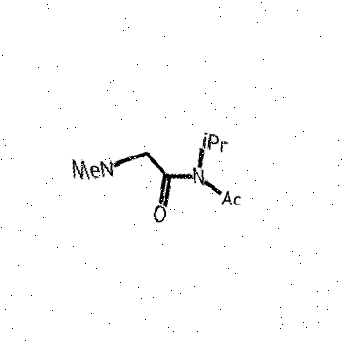 CNCC(=O)N(C(C)=O)C(C)C